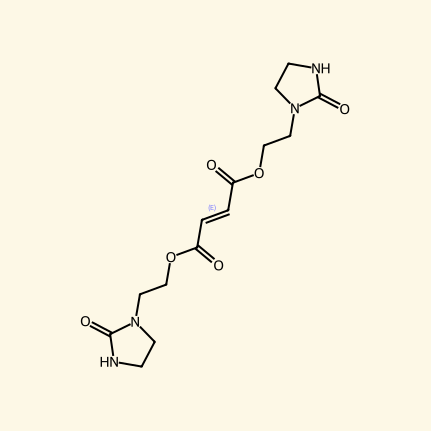 O=C(/C=C/C(=O)OCCN1CCNC1=O)OCCN1CCNC1=O